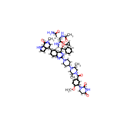 COc1ccc(C(=O)N2C[C@@H](C)N(C3CCN(c4nc([C@@](CNC(=O)[C@H](CC(N)=O)NC(C)=O)(OC5CC5)c5ccccc5)c5cc(-c6cn(C)c(=O)c7[nH]ccc67)ccc5n4)CC3)C[C@@H]2C)cc1N1CCC(=O)NC1=O